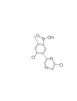 OB1OCc2cc(Cl)c(-c3cncc(Cl)n3)cc21